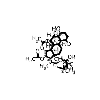 CC(=O)O[C@@H]1[C@H](OC(C)=O)[C@H]2[C@@H]3C[C@H]4O[C@]45[C@@H](O)C=CC(=O)[C@]5(C)[C@H]3CC[C@]2(C)[C@H]1[C@H](C)[C@H]1C[C@]2(C)O[C@]2(C)[C@H](O)O1